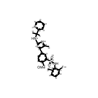 COc1ccc(-c2sc(NC(C)(C)c3ccccn3)nc2C)cc1S(=O)(=O)Nc1c(C)cccc1F